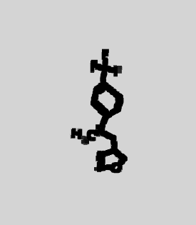 CN(CC1CO[C]=N1)c1ccc(C(F)(F)F)cc1